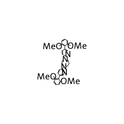 COc1cccc(OC)c1-c1ccc(N2CCCN(c3ccc(-c4c(OC)cccc4OC)cn3)CC2)nc1